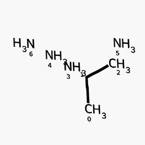 CCC.N.N.N.N